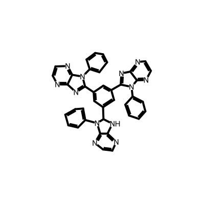 c1ccc(N2c3nccnc3NC2c2cc(-c3nc4nccnc4n3-c3ccccc3)cc(-c3nc4nccnc4n3-c3ccccc3)c2)cc1